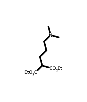 CCOC(=O)C(CCCN(C)C)C(=O)OCC